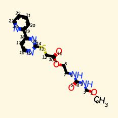 COCNC(=O)NCCOC(=O)CSc1nccc(-c2ccccn2)n1